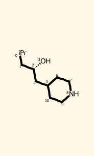 CC(C)C[C@H](O)CC1CCNCC1